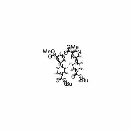 COC(=O)c1cncc(N2CCN(C(=O)OC(C)(C)C)CC2)n1.COC(=O)c1cncc(N2CCN(C(=O)OC(C)(C)C)CC2)n1